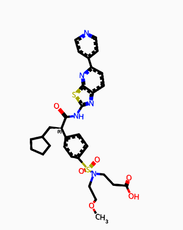 COCCN(CCC(=O)O)S(=O)(=O)c1ccc([C@@H](CC2CCCC2)C(=O)Nc2nc3ccc(-c4ccncc4)nc3s2)cc1